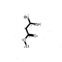 CCOC(=O)CC(S)C(C)CC